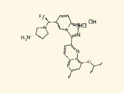 Cl.Cl.N[C@H]1CCN([C@H](c2ccc3nnc(-c4ccc5cc(F)cc(OC(F)F)c5n4)n3c2)C(F)(F)F)C1